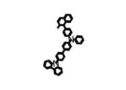 CC1C=Cc2ccccc2C1c1ccc(N(c2ccccc2)c2ccc(C3=CC=C(n4c5ccccc5c5ccccc54)CC3)cc2)cc1